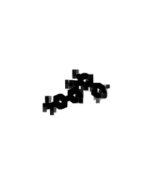 C[C@@H]1CN(c2ncc(F)c(Nc3cc(-c4ccc(C(F)(F)F)cc4)cnn3)n2)C[C@H](C)O1